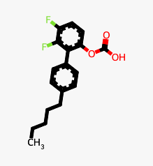 CCCCCc1ccc(-c2c(OC(=O)O)ccc(F)c2F)cc1